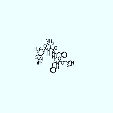 CC(C)c1nc(CN(C)C(=O)N[C@@H](CCN)C(=O)N[C@@H](CC[C@@H](Cc2ccccc2)NC(=O)OCc2cncs2)Cc2ccccc2)cs1